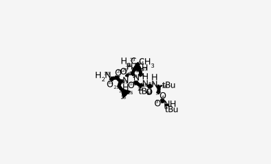 CC(C)(C)NC(=O)OC[C@@H](NC(=O)N[C@H](C(=O)N1C[C@H]2[C@@H]([C@H]1C(=O)NC(CC1CC1)C(=O)C(N)=O)C2(C)C)C(C)(C)C)C(C)(C)C